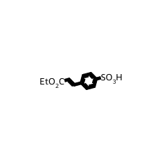 CCOC(=O)C=Cc1ccc(S(=O)(=O)O)cc1